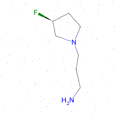 NCCCN1CC[C@H](F)C1